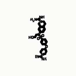 CCC(=N)N1CCC(Oc2ccc(S(=O)(=O)N(CCO)c3ccc4c(c3)CN(C(=N)N)CC4)cc2)CC1